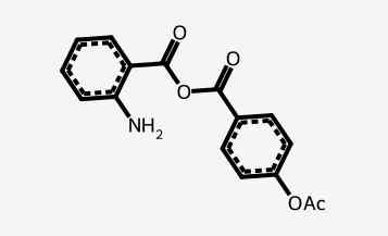 CC(=O)Oc1ccc(C(=O)OC(=O)c2ccccc2N)cc1